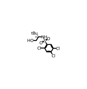 CC(C)(C)[C@@H](CO)NS(=O)(=O)c1cc(Cl)c(Cl)cc1Cl